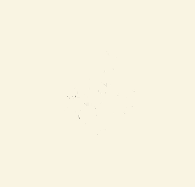 CNC(=O)[C@H](Cc1ccccc1Br)NC(=O)c1cc(-c2ccccc2)nn1Cc1cccc(Br)c1